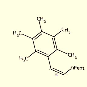 CCCCC/C=[C]\c1c(C)c(C)c(C)c(C)c1C